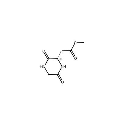 COC(=O)C[C@@H]1NC(=O)CNC1=O